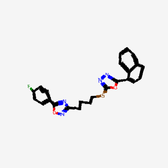 Fc1ccc(-c2nc(CCCCSc3nnc(-c4cccc5ccccc45)o3)no2)cc1